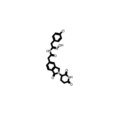 O=C1CCC(N2Cc3cc(CC(=O)NC(Cc4ccc(Cl)cc4)=NO)ccc3C2=O)C(=O)N1